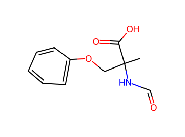 CC(COc1ccccc1)(NC=O)C(=O)O